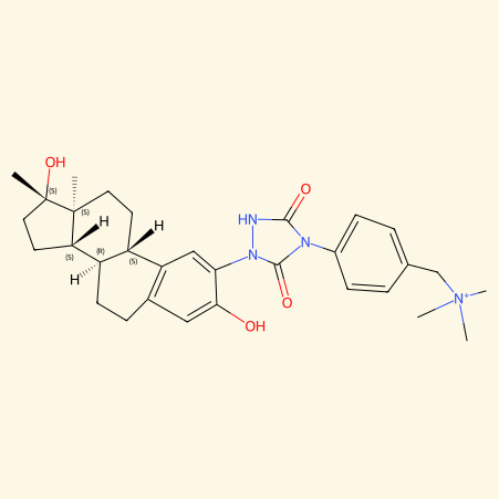 C[C@]1(O)CC[C@H]2[C@@H]3CCc4cc(O)c(-n5[nH]c(=O)n(-c6ccc(C[N+](C)(C)C)cc6)c5=O)cc4[C@H]3CC[C@@]21C